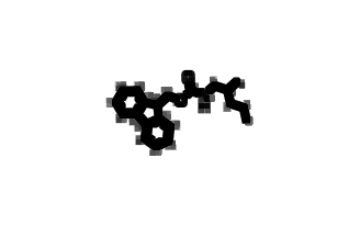 CCCC(C)CNC(=O)OCC1c2ccccc2-c2ccccc21